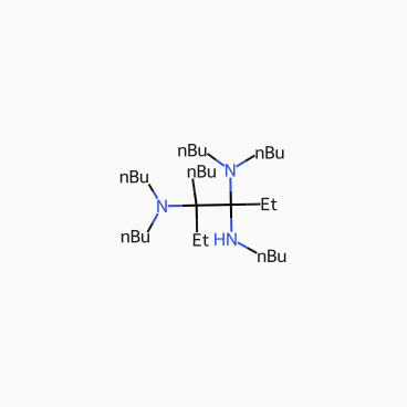 CCCCNC(CC)(N(CCCC)CCCC)C(CC)(CCCC)N(CCCC)CCCC